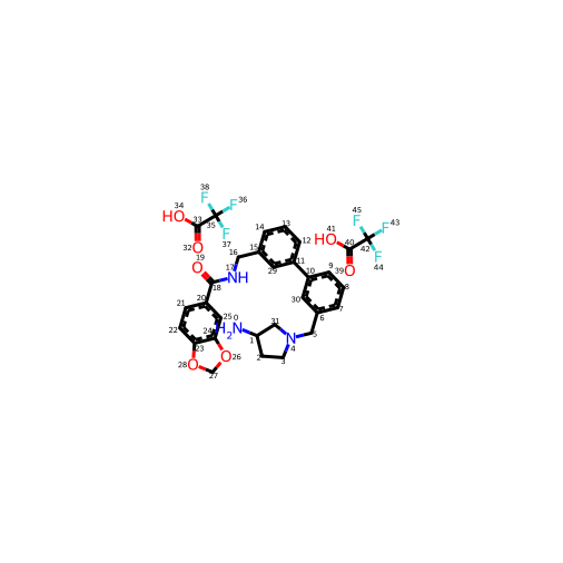 NC1CCN(Cc2cccc(-c3cccc(CNC(=O)c4ccc5c(c4)OCO5)c3)c2)C1.O=C(O)C(F)(F)F.O=C(O)C(F)(F)F